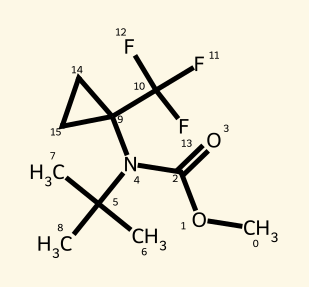 COC(=O)N(C(C)(C)C)C1(C(F)(F)F)CC1